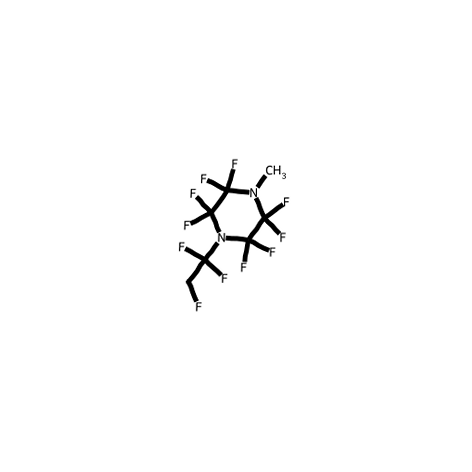 CN1C(F)(F)C(F)(F)N(C(F)(F)CF)C(F)(F)C1(F)F